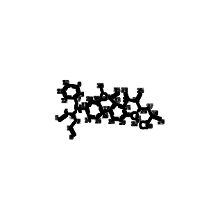 C=CCC(C=C)N(c1ccccc1)c1ccc(-c2cccc(C(=C)C(=C)C(CC(=C)Cl)OC)c2C=C)c(OC)c1